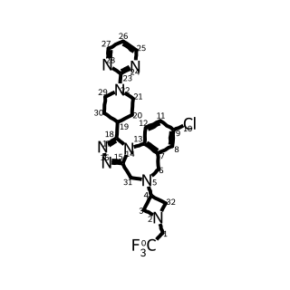 FC(F)(F)CN1CC(N2Cc3cc(Cl)ccc3-n3c(nnc3C3CCN(c4ncccn4)CC3)C2)C1